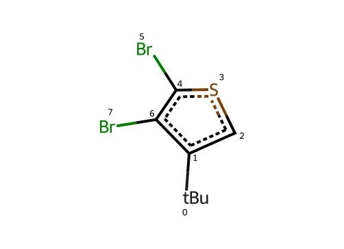 CC(C)(C)c1csc(Br)c1Br